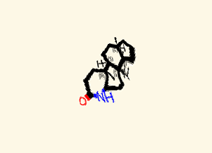 C[C@@]12CCC[C@H]1[C@@H]1CCC3NC(=O)CC[C@]3(C)[C@H]1CC2